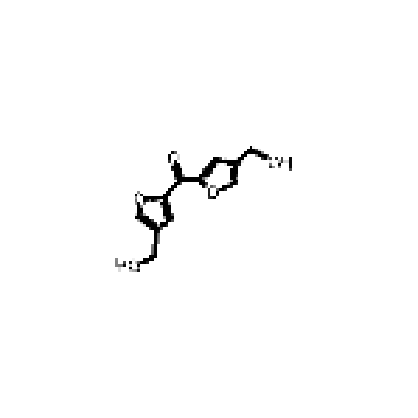 O=C(c1cc(CO)co1)c1cc(CO)co1